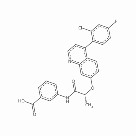 C[C@@H](Oc1ccc2c(-c3ccc(F)cc3Cl)ccnc2c1)C(=O)Nc1cccc(C(=O)O)c1